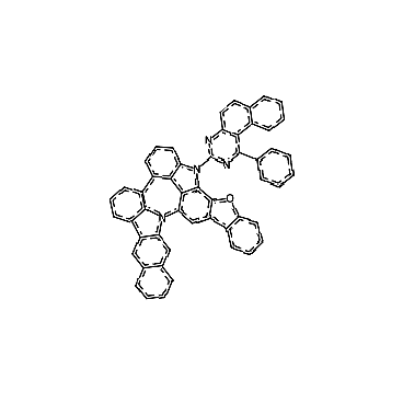 c1ccc(-c2nc(-n3c4cccc5c6cccc7c8cc9ccccc9cc8n(c8cc9c%10ccccc%10oc9c3c8c54)c67)nc3ccc4ccccc4c23)cc1